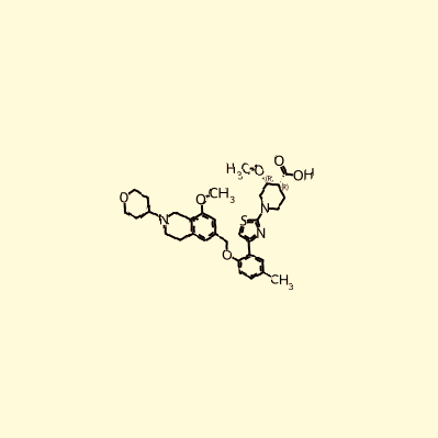 COc1cc(COc2ccc(C)cc2-c2csc(N3CC[C@@H](C(=O)O)[C@@H](OC)C3)n2)cc2c1CN(C1CCOCC1)CC2